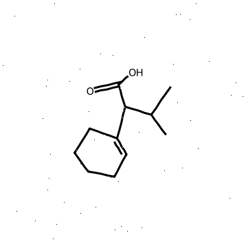 CC(C)C(C(=O)O)C1=CCCCC1